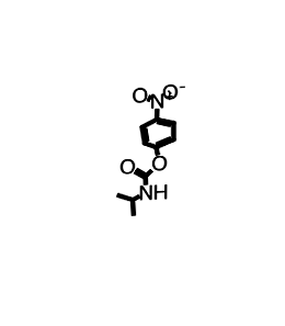 CC(C)NC(=O)Oc1ccc([N+](=O)[O-])cc1